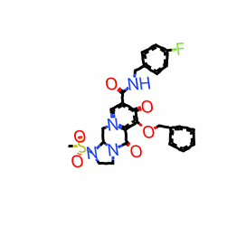 CS(=O)(=O)N1CCN2C(=O)c3c(OCc4ccccc4)c(=O)c(C(=O)NCc4ccc(F)cc4)cn3CC21